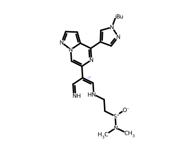 CCC(C)n1cc(-c2nc(/C(C=N)=C/NCC[S+]([O-])N(C)C)cn3nccc23)cn1